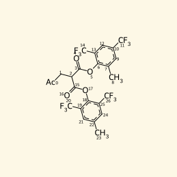 CC(=O)CC(C(=O)Oc1c(C)cc(C(F)(F)F)cc1C(F)(F)F)C(=O)Oc1c(C(F)(F)F)cc(C)cc1C(F)(F)F